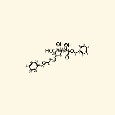 O=C(OCc1ccccc1)N(O)[C@H]1C[C@@H](OCCOCc2ccccc2)[C@H](O)[C@@H]1O